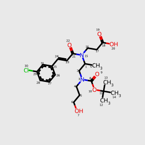 CC(CN(CCCO)C(=O)OC(C)(C)C)N(CCC(=O)O)C(=O)/C=C/c1cccc(Cl)c1